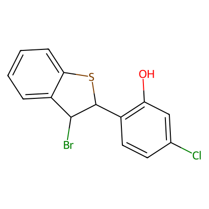 Oc1cc(Cl)ccc1C1Sc2ccccc2C1Br